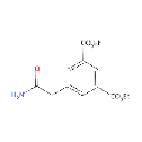 CCOC(=O)c1cc(CC(N)=O)cc(C(=O)OCC)c1